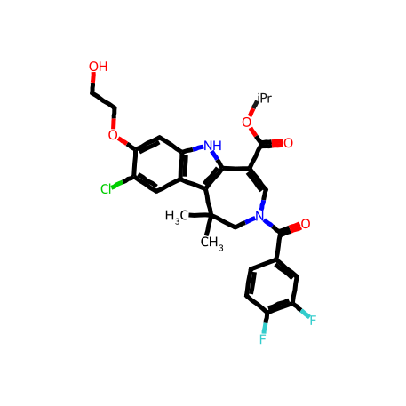 CC(C)OC(=O)C1=CN(C(=O)c2ccc(F)c(F)c2)CC(C)(C)c2c1[nH]c1cc(OCCO)c(Cl)cc21